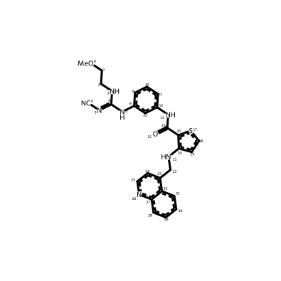 COCCN/C(=N\C#N)Nc1cccc(NC(=O)c2sccc2NCc2ccnc3ccccc23)c1